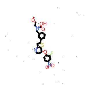 COCCN(Cc1cccc(-c2cc3nccc(Oc4ccc([N+](=O)[O-])cc4F)c3s2)c1)C(=O)O